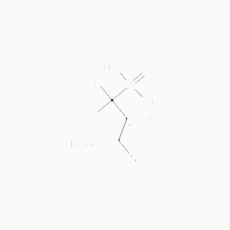 C[C@H]([C@H](N)C(=O)O)C(F)(F)P(=O)(O)O